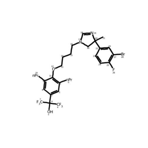 CCCc1cc(C(O)(C(F)(F)F)C(F)(F)F)cc(CCC)c1OCCCCN1C=NC(C)(c2ccc(F)c(Br)c2)C1